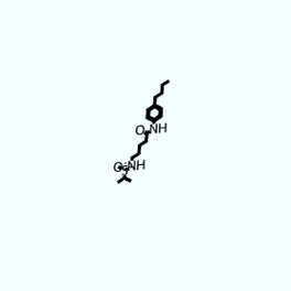 CCCCc1ccc(NC(=O)CCCCN[S+]([O-])C(C)C)cc1